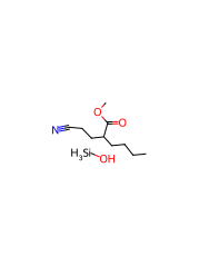 CCCCC(CCC#N)C(=O)OC.O[SiH3]